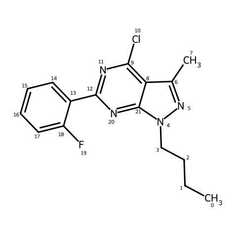 CCCCn1nc(C)c2c(Cl)nc(-c3ccccc3F)nc21